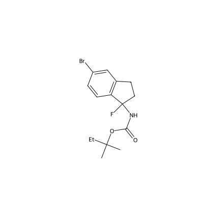 CCC(C)(C)OC(=O)NC1(F)CCc2cc(Br)ccc21